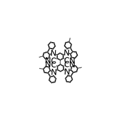 Cc1ccc2c(c1)c1ccccc1n2-c1cc(-n2c3ccccc3c3cc(C)ccc32)c(C#N)c(-c2c(C#N)c(-n3c4ccccc4c4cc(C)ccc43)cc(-n3c4ccccc4c4cc(C)ccc43)c2C#N)c1C#N